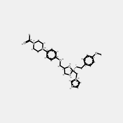 COc1ccc(CC[C@]2(Cn3ccnc3)OCC(COc3ccc(N4CCN(C(C)=O)CC4)cc3)O2)cc1